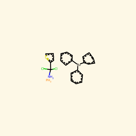 NC(Cl)(Cl)c1cccs1.P.c1cc[c]([Ru]([c]2ccccc2)[c]2ccccc2)cc1